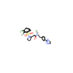 CN(CCc1ccc(C2=NCCN2)cc1)C(=O)CC1CCCN1S(=O)(=O)c1cccc(Cl)c1Cl.Cl